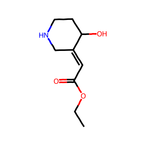 CCOC(=O)C=C1CNCCC1O